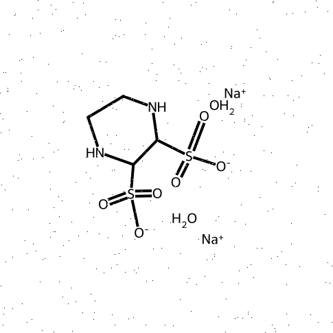 O.O.O=S(=O)([O-])C1NCCNC1S(=O)(=O)[O-].[Na+].[Na+]